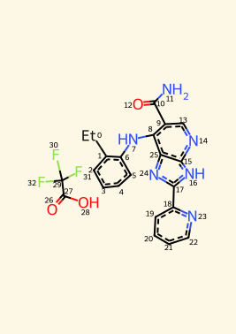 CCc1ccccc1Nc1c(C(N)=O)cnc2[nH]c(-c3ccccn3)nc12.O=C(O)C(F)(F)F